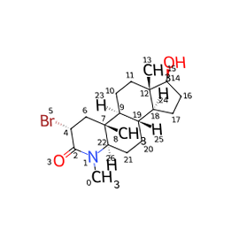 CN1C(=O)[C@H](Br)C[C@]2(C)[C@H]3CC[C@]4(C)[C@@H](O)CC[C@H]4[C@@H]3CC[C@@H]12